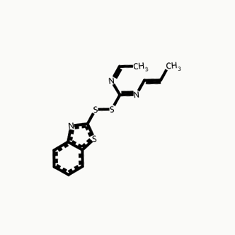 C\C=N/C(=N\C=C\C)SSc1nc2ccccc2s1